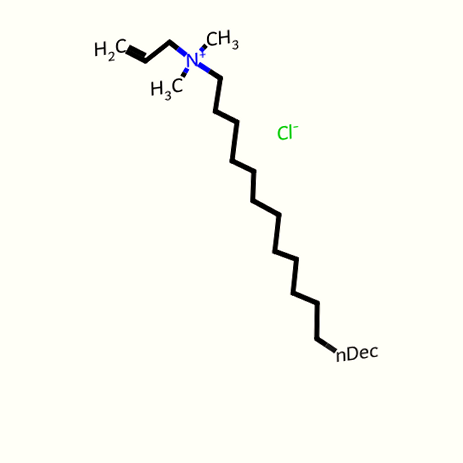 C=CC[N+](C)(C)CCCCCCCCCCCCCCCCCCCCCC.[Cl-]